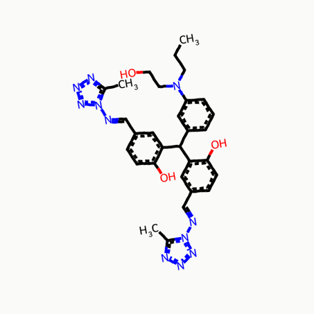 CCCN(CCO)c1cccc(C(c2cc(C=Nn3nnnc3C)ccc2O)c2cc(C=Nn3nnnc3C)ccc2O)c1